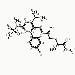 COC(=O)C(O)CCC(=O)C=Cc1c(-c2ccc(F)cc2)nc(N(C)S(C)(=O)=O)nc1C(C)C